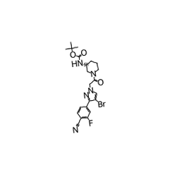 CC(C)(C)OC(=O)N[C@@H]1CCCN(C(=O)Cn2cc(Br)c(-c3ccc(C#N)c(F)c3)n2)C1